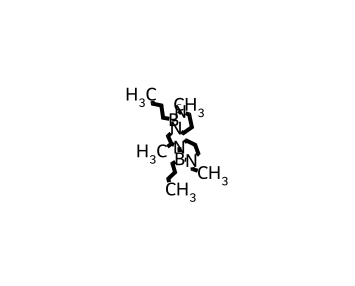 CCCCB1N(C)CCCN1CC(C)N1CCCN(CC)B1CCCC